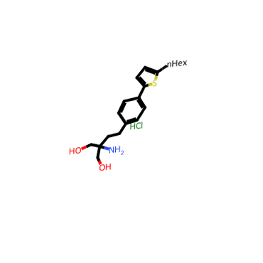 CCCCCCc1ccc(-c2ccc(CCC(N)(CO)CO)cc2)s1.Cl